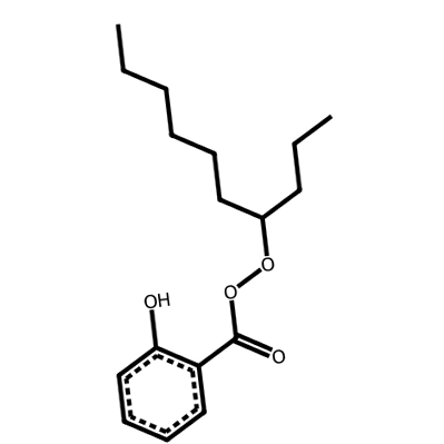 CCCCCCC(CCC)OOC(=O)c1ccccc1O